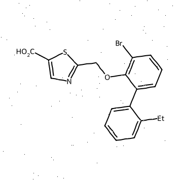 CCc1ccccc1-c1cccc(Br)c1OCc1ncc(C(=O)O)s1